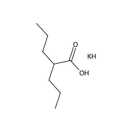 CCCC(CCC)C(=O)O.[KH]